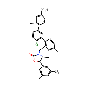 Cc1cc([C@H]2OC(=O)N(Cc3cc(C)ccc3-c3cc(-c4ccc(C(=O)O)cc4C)ccc3Cl)[C@H]2C)cc(C(F)(F)F)c1